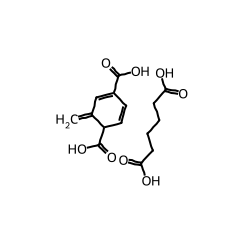 C=C1C=C(C(=O)O)C=CC1C(=O)O.O=C(O)CCCCC(=O)O